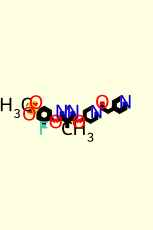 Cc1c(Oc2ccc(S(C)(=O)=O)cc2F)ncnc1OC1CCN(C(=O)Cc2ccncc2)CC1